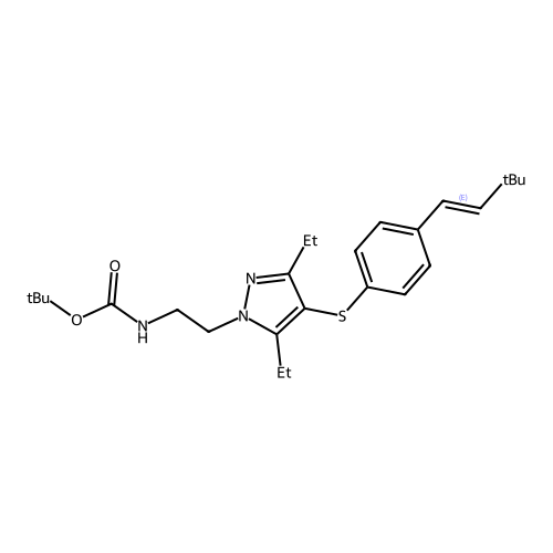 CCc1nn(CCNC(=O)OC(C)(C)C)c(CC)c1Sc1ccc(/C=C/C(C)(C)C)cc1